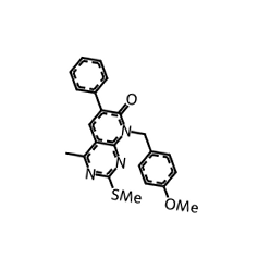 COc1ccc(Cn2c(=O)c(-c3ccccc3)cc3c(C)nc(SC)nc32)cc1